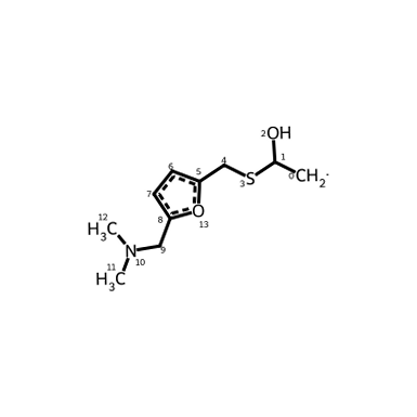 [CH2]C(O)SCc1ccc(CN(C)C)o1